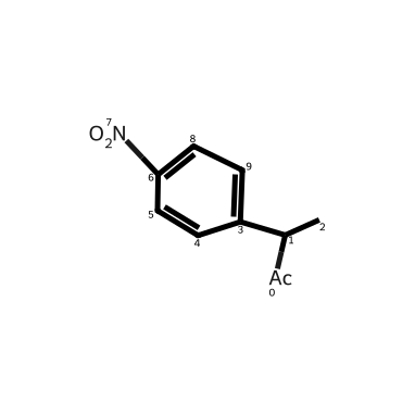 CC(=O)C(C)c1ccc([N+](=O)[O-])cc1